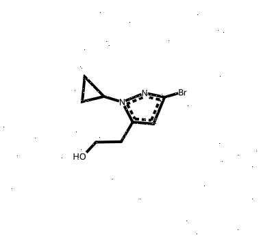 OCCc1cc(Br)nn1C1CC1